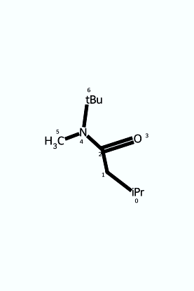 CC(C)CC(=O)N(C)C(C)(C)C